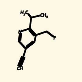 C#Cc1cnc(C(C)C)c(CF)c1